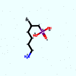 CCC(CCCCN)CP(=O)(O)O